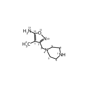 Cc1c(CN2CCNCC2)noc1N